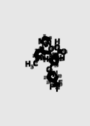 Cc1ccc(-n2nccn2)c(C(=O)N2[C@H](C(=O)O)[C@H]3C[C@@H](Oc4ccc(C(F)(F)F)cn4)[C@@H]2C3)n1